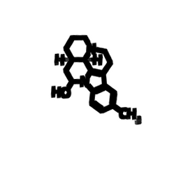 Cc1ccc2c(c1)c1c3n2C(O)C[C@H]2CCCN(CC1)[C@@H]32